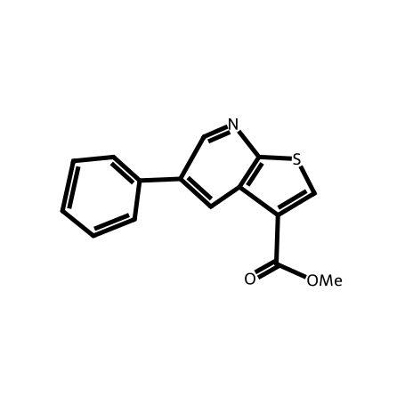 COC(=O)c1csc2ncc(-c3ccccc3)cc12